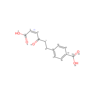 O=C(O)/C=C\C(=O)CCc1ccc(C(=O)O)cc1